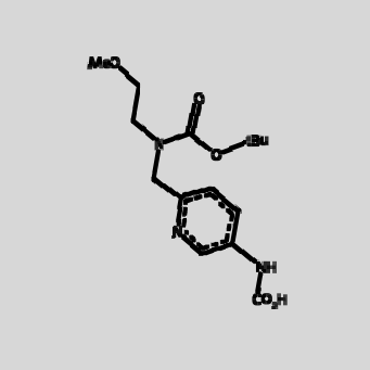 COCCN(Cc1ccc(NC(=O)O)cn1)C(=O)OC(C)(C)C